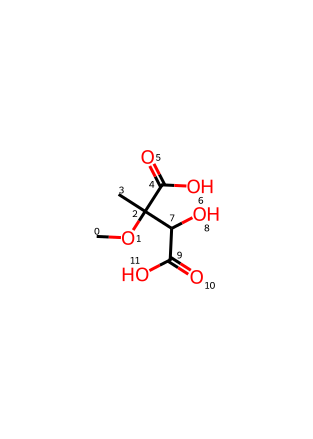 COC(C)(C(=O)O)C(O)C(=O)O